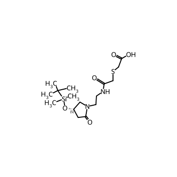 CC(C)(C)[Si](C)(C)O[C@H]1CC(=O)N(CCNC(=O)CSCC(=O)O)C1